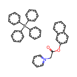 O=C(C[n+]1ccccc1)Oc1ccc2ccccc2c1.c1ccc([B-](c2ccccc2)(c2ccccc2)c2ccccc2)cc1